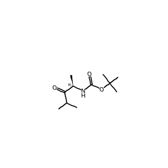 CC(C)C(=O)[C@@H](C)NC(=O)OC(C)(C)C